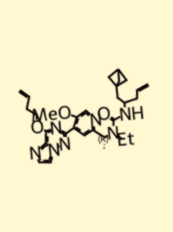 C=CCCOc1nc(-c2cc([C@@H](C)N(CC)C(=O)NC(CC=C)CC34CC(C3)C4)ncc2OC)nn2ccnc12